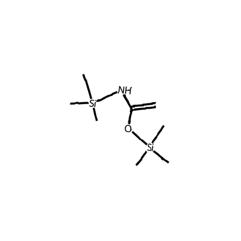 C=C(N[Si](C)(C)C)O[Si](C)(C)C